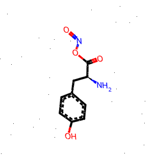 N[C@@H](Cc1ccc(O)cc1)C(=O)ON=O